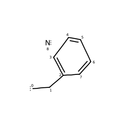 [C]Cc1ccccc1.[N]